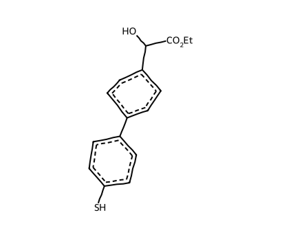 CCOC(=O)C(O)c1ccc(-c2ccc(S)cc2)cc1